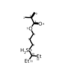 C=C(C)C(=O)OCCC[SiH2]C(CC)CC